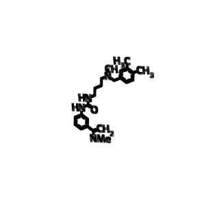 C=C(NC)c1cccc(NC(=O)NCCCCN(C)Cc2ccc(C)c(C)c2)c1